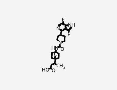 CC(CC(=O)O)C12CCC(NC(=O)N3CCC(c4ncc(F)c5[nH]cc(F)c45)CC3)(CC1)CC2